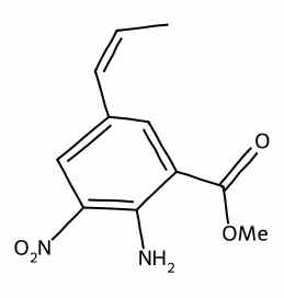 C/C=C\c1cc(C(=O)OC)c(N)c([N+](=O)[O-])c1